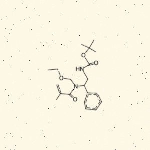 C=C(C)C(=O)N(COCC)C(CNC(=O)OC(C)(C)C)c1ccccc1